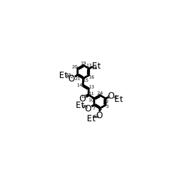 CCOc1cc(OCC)c(OCC)c(C(=O)C=Cc2cc(CC)ccc2OCC)c1